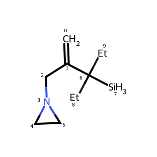 C=C(CN1CC1)C([SiH3])(CC)CC